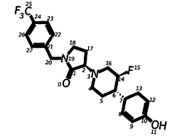 O=C1[C@H](N2CC[C@@H](C3C=CC(O)=CC3)[C@H](F)C2)CCN1Cc1ccc(C(F)(F)F)cc1